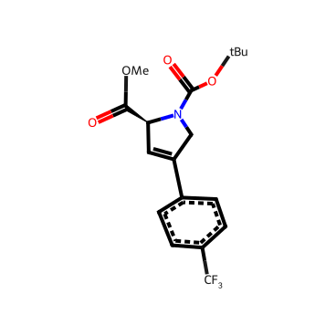 COC(=O)[C@@H]1C=C(c2ccc(C(F)(F)F)cc2)CN1C(=O)OC(C)(C)C